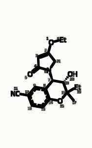 CCOC1=CC(=O)N([C@@H]2c3cc(C#N)ccc3OC(C)(CC)[C@H]2O)C1